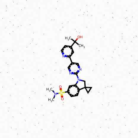 CN(C)S(=O)(=O)c1ccc2c(c1)N(c1ncc(-c3cc(C(C)(C)O)ccn3)cn1)CC21CC1